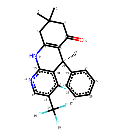 CC1(C)CC(=O)C2=C(C1)Nc1ncc(C(F)(F)F)c(F)c1[C@]2(C)c1ccccc1